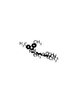 Cc1ccc(-c2ncc(N(C)CCCCOCC(=O)OC(C)(C)C)nc2-c2ccc(C)cc2)cc1